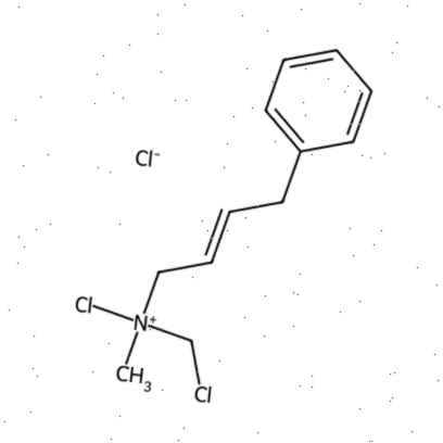 C[N+](Cl)(CCl)CC=CCc1ccccc1.[Cl-]